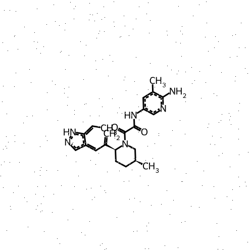 C=C(/C=c1/cn[nH]/c1=C/C)[C@@H]1CC[C@H](C)CN1C(=O)C(=O)Nc1cnc(N)c(C)c1